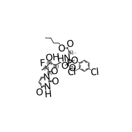 CCCCOC(=O)[C@H](C)NP(=O)(OC[C@H]1O[C@@H](n2ccc(=O)[nH]c2=O)[C@](C)(F)[C@@H]1O)Oc1ccc(Cl)cc1Cl